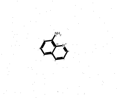 Nc1c[c]cc2cccnc12